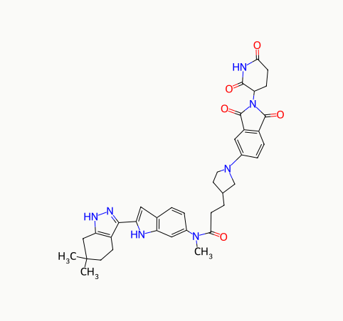 CN(C(=O)CCC1CCN(c2ccc3c(c2)C(=O)N(C2CCC(=O)NC2=O)C3=O)C1)c1ccc2cc(-c3n[nH]c4c3CCC(C)(C)C4)[nH]c2c1